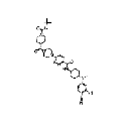 CN(c1ccc(C#N)c(Cl)c1)C1CCC(NC(=O)c2ccc(N3CCN(C(=O)N4CCN(C(=O)OC(C)(C)C)CC4)CC3)nn2)CC1